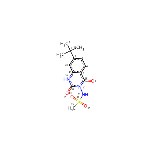 CC(C)(C)c1ccc2c(=O)n(NS(C)(=O)=O)c(=O)[nH]c2c1